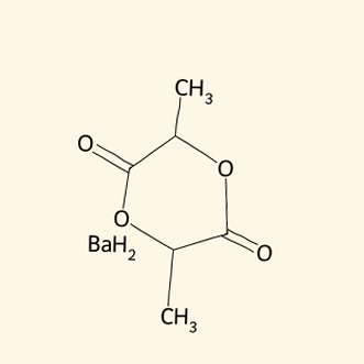 CC1OC(=O)C(C)OC1=O.[BaH2]